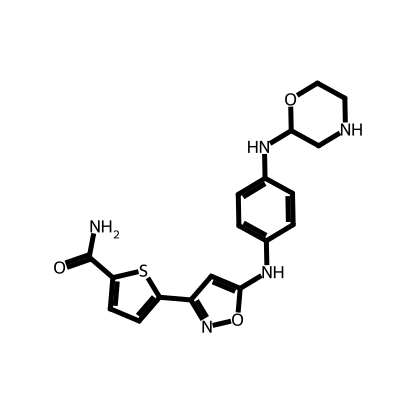 NC(=O)c1ccc(-c2cc(Nc3ccc(NC4CNCCO4)cc3)on2)s1